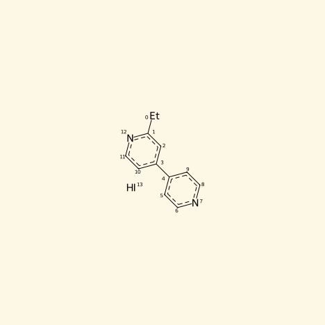 CCc1cc(-c2ccncc2)ccn1.I